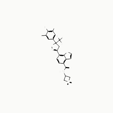 O=C(NC1CS(=O)(=O)C1)c1ccc(C2=NOC(c3cc(Cl)c(F)c(Cl)c3)(C(F)(F)F)C2)c2sccc12